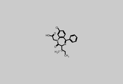 CC[C@H](C)C1N=C(c2ccccc2)c2ccc(Cl)cc2N(CC(=O)O)C1=O